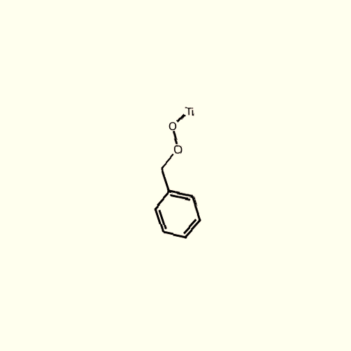 [Ti][O]OCc1ccccc1